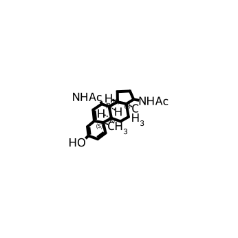 CC(=O)NC1C=C2C=C(O)C=C[C@]2(C)[C@@H]2CC[C@]3(C)C(NC(C)=O)CC[C@H]3[C@H]12